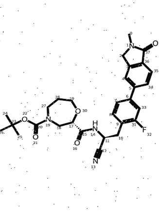 CN1Cc2cc(-c3ccc(C[C@@H](C#N)NC(=O)[C@@H]4CN(C(=O)OC(C)(C)C)CCCO4)c(F)c3)ccc2C1=O